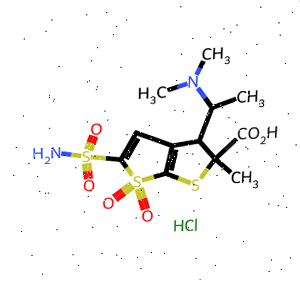 CC(C1C2=C(SC1(C)C(=O)O)S(=O)(=O)C(S(N)(=O)=O)=C2)N(C)C.Cl